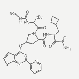 CC(C)(C)NC(=O)NC(C(=O)N1C[C@H](Oc2nc(-c3ccccn3)nc3sccc23)CC1C(=O)N[C@@H](CC1CCC1)C(=O)C(N)=O)C(C)(C)C